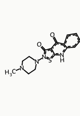 CN1CCN(n2sc3[nH]c4ccccc4c(=O)c3c2=O)CC1